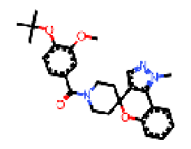 COc1cc(C(=O)N2CCC3(CC2)Oc2ccccc2-c2c3cnn2C)ccc1OC(C)(C)C